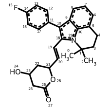 CC1(C)CCc2cccc3c(-c4ccc(F)cc4)c(C=CC4CC(O)CC(=O)O4)n1c23